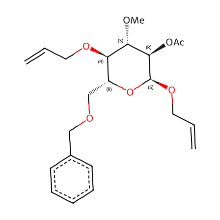 C=CCO[C@H]1O[C@H](COCc2ccccc2)[C@@H](OCC=C)[C@H](OC)[C@H]1OC(C)=O